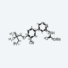 COC(=O)Nc1cc(-c2ccc(OCC(C)(N)CC(C)C)c(C#N)c2)cnn1